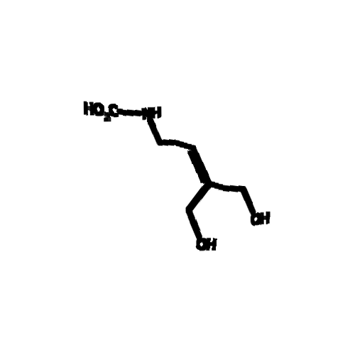 O=C(O)NCC=C(CO)CO